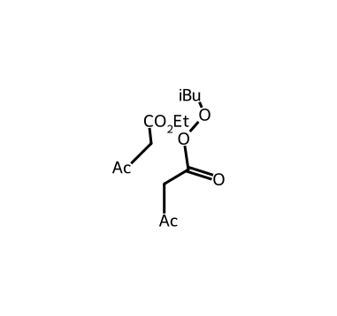 CCC(C)OOC(=O)CC(C)=O.CCOC(=O)CC(C)=O